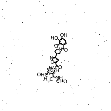 CC(NC=O)C(CNC(=O)c1cc(C2CCN(C(=O)c3ccc(O)c(O)c3Cl)C2)no1)N(C=O)S(=O)(=O)O